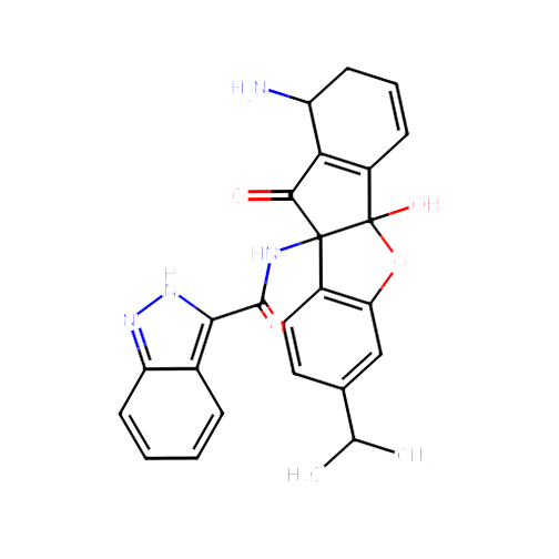 CC(C)c1ccc2c(c1)OC1(O)C3=C(C(=O)C21NC(=O)c1[nH]nc2ccccc12)C(N)CC=C3